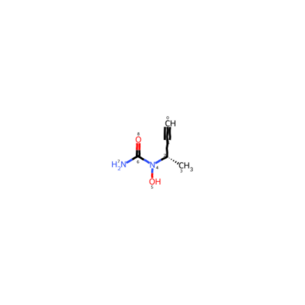 C#C[C@H](C)N(O)C(N)=O